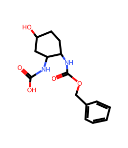 O=C(O)NC1CC(O)CCC1NC(=O)OCc1ccccc1